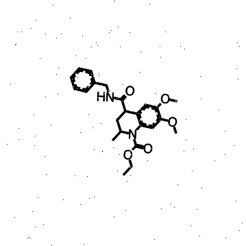 CCOC(=O)N1c2cc(OC)c(OC)cc2C(C(=O)NCc2ccccc2)CC1C